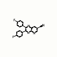 N#Cc1cnc2nc(-c3ccc(F)cc3)c(-c3ccc(F)cc3)nc2c1